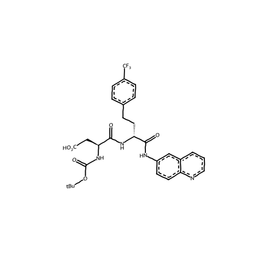 CC(C)(C)OC(=O)N[C@@H](CC(=O)O)C(=O)N[C@H](CCc1ccc(C(F)(F)F)cc1)C(=O)Nc1ccc2ncccc2c1